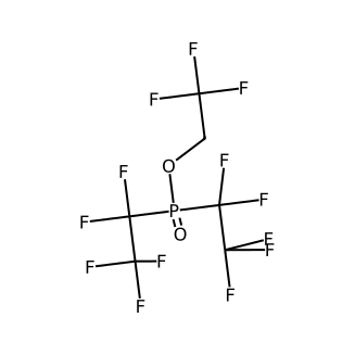 O=P(OCC(F)(F)F)(C(F)(F)C(F)(F)F)C(F)(F)C(F)(F)F